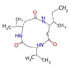 CCC(C)C1CC(=O)NC(C(C)C)CC(=O)NC(C(C)C)CC(=O)N1